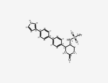 CC(C)S(=O)(=O)NC1COC(=O)OC1c1ccc(-c2ccc(-c3ccsc3)cc2)cc1